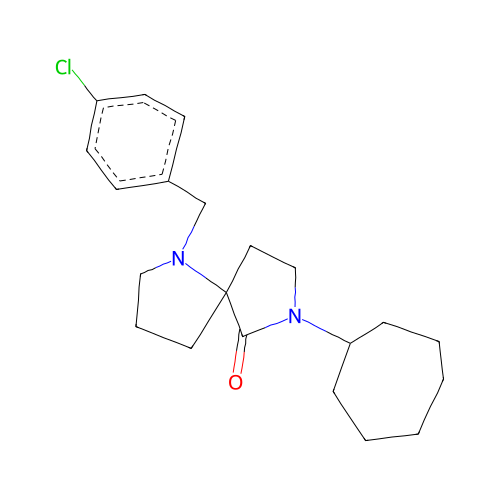 O=C1N(C2CCCCCC2)CCC12CCCN2Cc1ccc(Cl)cc1